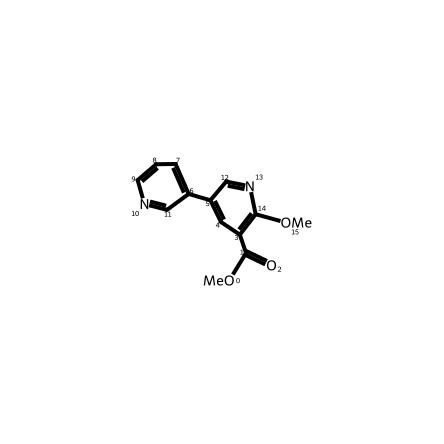 COC(=O)c1cc(-c2cccnc2)cnc1OC